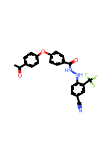 CC(=O)c1ccc(Oc2ccc(C(=O)NNc3ccc(C#N)cc3C(F)(F)F)cc2)cc1